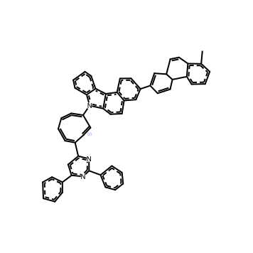 Cc1cccc2c1C=CC1C=C(c3ccc4c(ccc5c4c4ccccc4n5C4=C=CC=C=C(c5cc(-c6ccccc6)nc(-c6ccccc6)n5)/C=C\4)c3)C=CC21